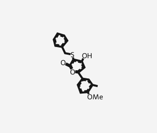 COc1ccc(-c2cc(O)c(SCc3ccccc3)c(=O)o2)cc1C